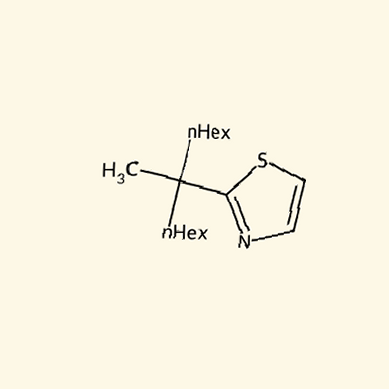 CCCCCCC(C)(CCCCCC)c1nccs1